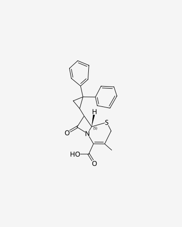 CC1=C(C(=O)O)N2C(=O)C(C3CC3(c3ccccc3)c3ccccc3)[C@@H]2SC1